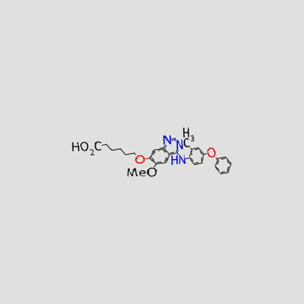 COc1cc2c(Nc3ccc(Oc4ccccc4)cc3C)ncnc2cc1OCCCCCC(=O)O